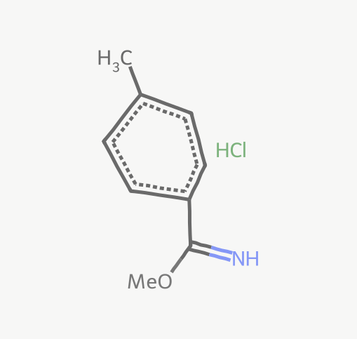 COC(=N)c1ccc(C)cc1.Cl